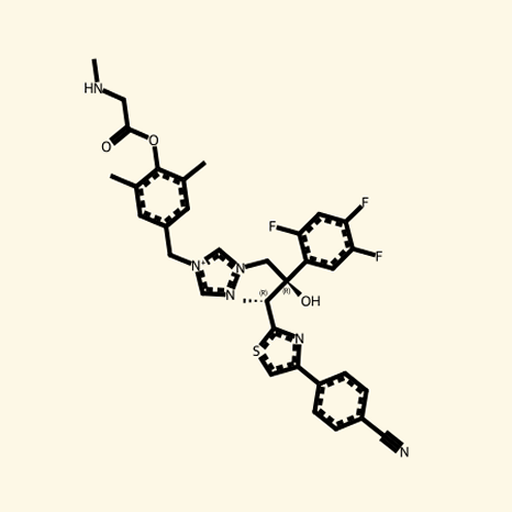 CNCC(=O)Oc1c(C)cc(C[n+]2cnn(C[C@](O)(c3cc(F)c(F)cc3F)[C@@H](C)c3nc(-c4ccc(C#N)cc4)cs3)c2)cc1C